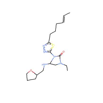 CC=CCCCc1nnc(N2C(=O)N(CC)CC2NCC2CCCO2)s1